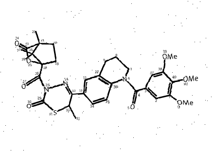 COc1cc(C(=O)N2CCCc3cc(C4=NN(C(=O)C56CCC(C)(C(=O)O5)C6(C)C)C(=O)SC4C)ccc32)cc(OC)c1OC